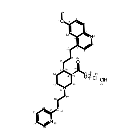 COc1ccc2nccc(CCC[C@@H]3CCN(CCSc4ccccn4)C[C@@H]3C(=O)O)c2c1.Cl.Cl.Cl